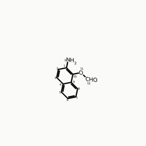 Nc1ccc2ccccc2c1OC=O